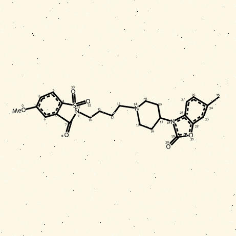 COc1ccc2c(c1)C(=O)N(CCCCN1CCC(n3c(=O)oc4cc(C)ccc43)CC1)S2(=O)=O